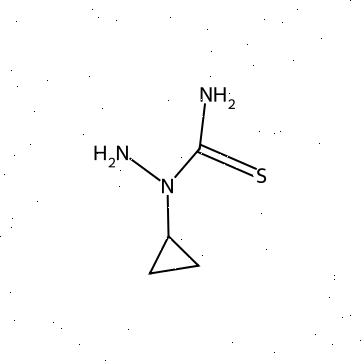 NC(=S)N(N)C1CC1